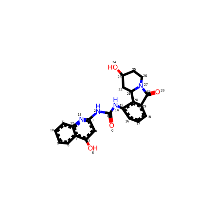 O=C(Nc1cc(O)c2ccccc2n1)Nc1cccc2c1C1CC(O)CCN1C2=O